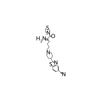 N#Cc1ccc2sc(C3CCN(CCCC[C@H](N)C(=O)N4CCSC4)CC3)nc2c1